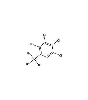 Clc1cc(C(Br)(Br)Br)c(Br)c(Cl)c1Cl